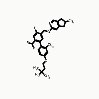 Cc1cc(OCCC(C)(C)O)ccc1-c1cc(COc2cc3c(cn2)CC(C)C3)c(F)cc1C(F)F